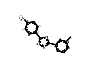 Cc1cccc(-c2noc(-c3ccc(N)cc3)n2)c1